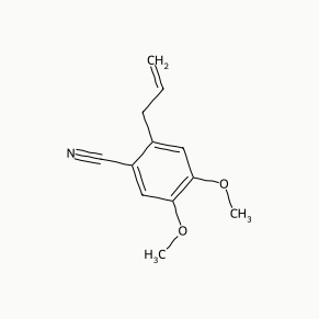 C=CCc1cc(OC)c(OC)cc1C#N